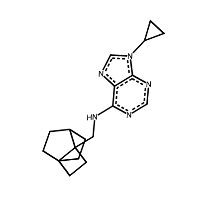 c1nc(NCC23CCC24CCC3CC4)c2ncn(C3CC3)c2n1